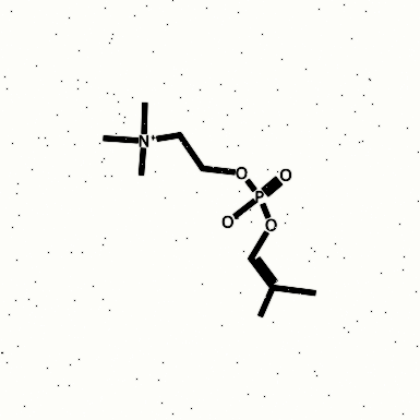 CC(C)=COP(=O)([O-])OCC[N+](C)(C)C